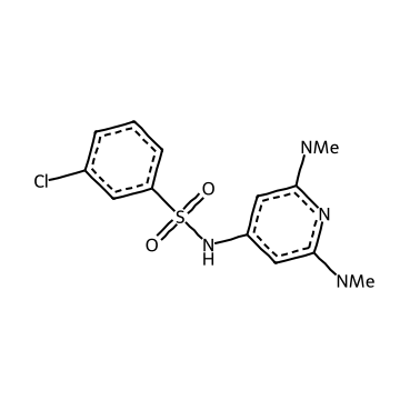 CNc1cc(NS(=O)(=O)c2cccc(Cl)c2)cc(NC)n1